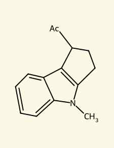 CC(=O)C1CCc2c1c1ccccc1n2C